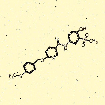 CS(=O)(=O)c1cc(NC(=O)c2ccc(OCc3ccc(SC(F)(F)F)cc3)nc2)ccc1O